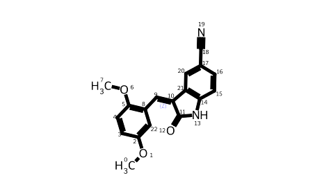 COc1ccc(OC)c(/C=C2\C(=O)Nc3ccc(C#N)cc32)c1